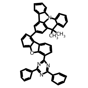 CC1(C)c2ccccc2-n2c3ccccc3c3cc(-c4cccc5oc6c(-c7nc(-c8ccccc8)nc(-c8ccccc8)n7)cccc6c45)cc1c32